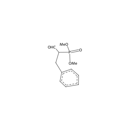 COP(=O)(OC)C(C=O)Cc1ccccc1